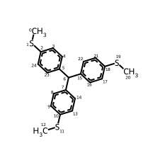 CSc1ccc(C(c2ccc(SC)cc2)c2ccc(SC)cc2)cc1